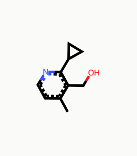 Cc1ccnc(C2CC2)c1CO